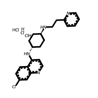 Cl.Cl.Cl.Clc1ccc2c(N[C@H]3CC[C@H](NCCc4ccccn4)CC3)ccnc2c1